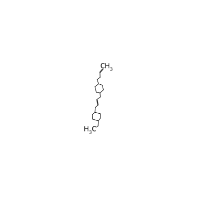 CC=CCCC1CCC(CC=CCC2CCC(CC)CC2)CC1